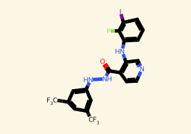 O=C(NNc1cc(C(F)(F)F)cc(C(F)(F)F)c1)c1ccncc1Nc1cccc(I)c1F